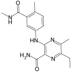 CCc1nc(C(N)=O)c(Nc2ccc(C)c(C(=O)NC)c2)nc1C